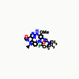 C=C(F)C(=O)Nc1cc(Nc2ncc(-c3ncco3)c(-c3cn(C4CC4)c4ccccc34)n2)c(OC)cc1N1CC(N(C)C)C1